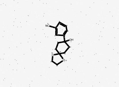 N#Cc1cccc(C2(O)CCC3(CC2)OCCO3)c1